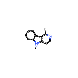 Cc1nccc2c1c1ccccc1n2C